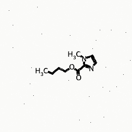 CCCCOC(=O)c1nccn1C